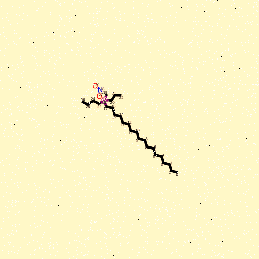 CCCCCCCCCCCCCCCCCCP(C)(CCC)(CCCC)ON=O